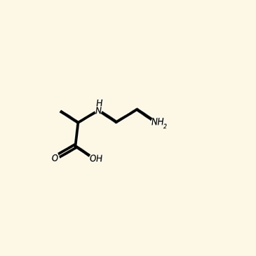 CC(NCCN)C(=O)O